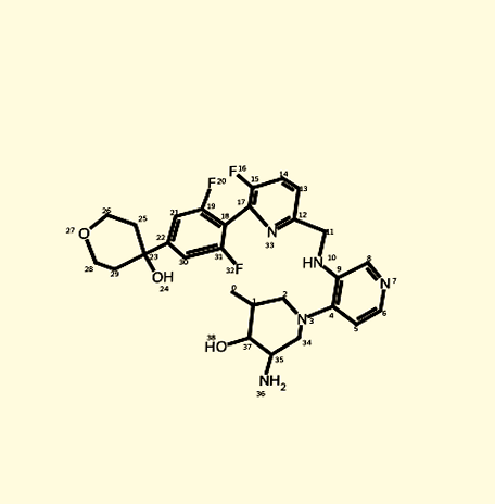 CC1CN(c2ccncc2NCc2ccc(F)c(-c3c(F)cc(C4(O)CCOCC4)cc3F)n2)CC(N)C1O